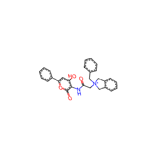 O=C(C[N+]1(Cc2ccccc2)Cc2ccccc2C1)Nc1c(O)cc(-c2ccccc2)oc1=O